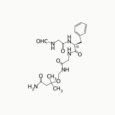 CC(C)(CC(N)=O)OCNC(=O)CNC(=O)[C@H](Cc1ccccc1)NC(=O)CNC=O